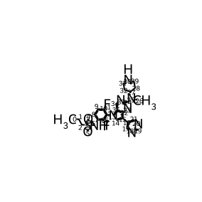 CCCS(=O)(=O)Nc1ccc(F)c(-n2cc(-c3cncnc3)c3nc(N(C)C4CCNCC4)ncc32)c1F